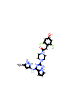 Cc1cc(Nc2nc(N3CCN(C(=O)Cc4c(F)cc(O)cc4F)CC3)nn3cccc23)n[nH]1